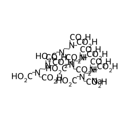 O=C(O)CN(CCN(CC(=O)O)CC(=O)O)CC(=O)O.O=C(O)CN(CCN(CC(=O)O)CC(=O)O)CC(=O)O.O=C(O)CN(CCN(CC(=O)O)CC(=O)O)CC(=O)O.O=C(O)CN(CCN(CC(=O)O)CC(=O)O)CC(=O)O.[Na]